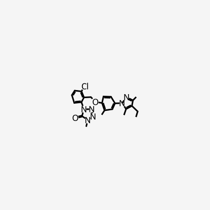 CCc1c(C)nn(-c2ccc(OCc3c(Cl)cccc3-n3nnn(C)c3=O)c(C)c2)c1C